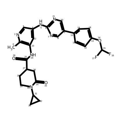 Cc1ncc(Nc2ncc(-c3ccc(OC(F)F)cc3)cn2)cc1NC(=O)C1CCN(C2CC2)C(=O)C1